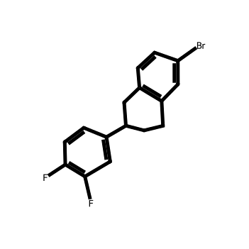 Fc1ccc(C2CCc3cc(Br)ccc3C2)cc1F